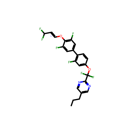 CCCc1cnc(C(F)(F)Oc2ccc(-c3cc(F)c(O/C=C/C(F)F)c(F)c3)c(F)c2)nc1